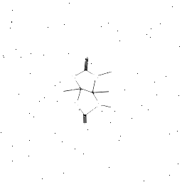 CC12NC(=O)N(Br)C1(C)N(Br)C(=O)N2